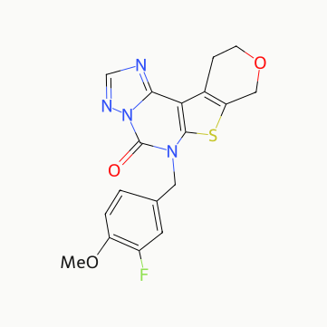 COc1ccc(Cn2c(=O)n3ncnc3c3c4c(sc32)COCC4)cc1F